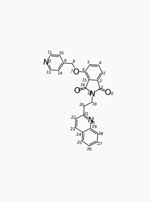 O=C1c2cccc(OCc3ccncc3)c2C(=O)N1CCc1ccc2ccccc2n1